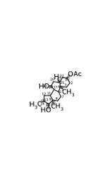 CC(=O)O[C@H]1CC[C@]2(C)C3CC[C@@]4(C)C(C[C@H](C)[C@@H]4O)C3[C@@H](O)C[C@@H]2C1